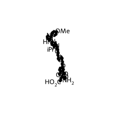 COC1CCN(c2nccc(Nc3cc4c(cn3)nc(COCCN3CCN(CCOc5ccc6c(c5)C(=O)N(C(CCC(=O)O)C(N)=O)C6=O)CC3)n4C(C)C)n2)CC1